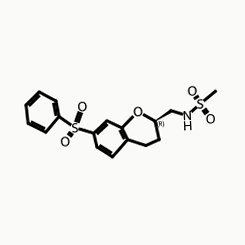 CS(=O)(=O)NC[C@H]1CCc2ccc(S(=O)(=O)c3ccccc3)cc2O1